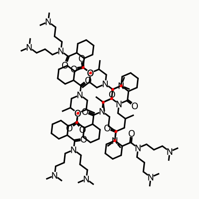 CC(C)CN(CC(C)CC(=O)C1CCCCC1C(=O)N(CCCN(C)C)CCCN(C)C)C(=O)C1CCCCC1C(=O)N(CC(C)OC(=O)C1CCCCC1C(=O)N(CCCN(C)C)CCCN(C)C)CC(C)OC(=O)C1CCCCC1C(=O)N(CC(C)OC(=O)C1CCCCC1C(=O)N(CCCN(C)C)CCCN(C)C)CC(C)OC(=O)C1CCCCC1C(=O)N(CCCN(C)C)CCCN(C)C